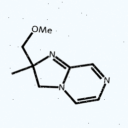 COCC1(C)CN2C=CN=CC2=N1